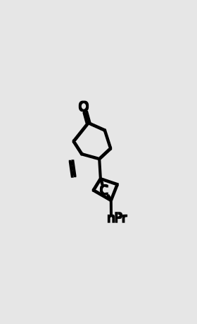 C=C.CCCC12CC(C3CCC(=O)CC3)(C1)C2